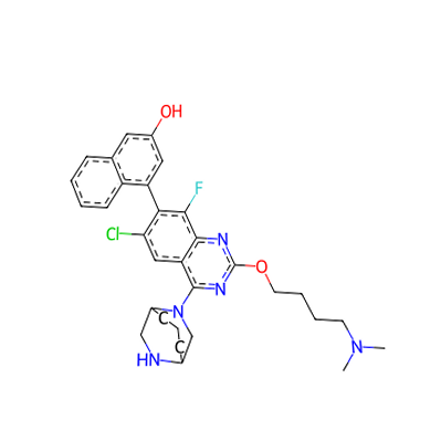 CN(C)CCCCOc1nc(N2CC3CCCC2CN3)c2cc(Cl)c(-c3cc(O)cc4ccccc34)c(F)c2n1